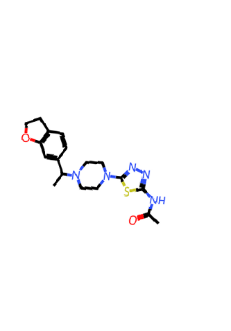 CC(=O)Nc1nnc(N2CCN(C(C)c3ccc4c(c3)OCC4)CC2)s1